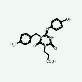 Cc1ccc(Cn2c(=O)n(CCC(=O)O)c(=O)[nH]/c2=N\c2ccc(O)cc2)cc1